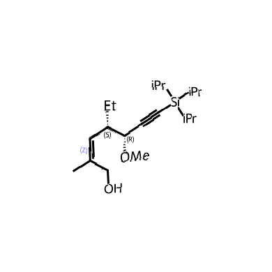 CC[C@@H](/C=C(/C)CO)[C@H](C#C[Si](C(C)C)(C(C)C)C(C)C)OC